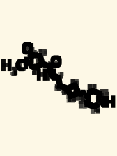 CN1CC(C(=O)NCCC2CC(N3CCNCC3)C2)CC1=O